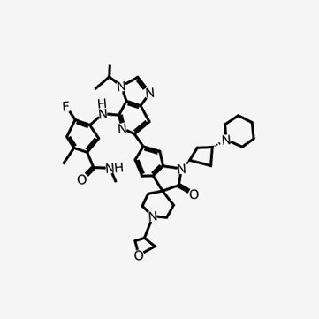 CNC(=O)c1cc(Nc2nc(-c3ccc4c(c3)N([C@H]3C[C@@H](N5CCCCC5)C3)C(=O)C43CCN(C4COC4)CC3)cc3ncn(C(C)C)c23)c(F)cc1C